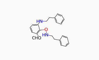 O=Cc1cccc(NCCc2ccccc2)c1ONCCc1ccccc1